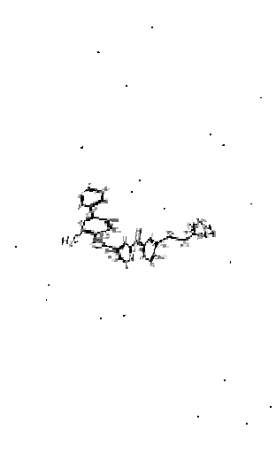 Cc1nc(-c2ccccc2)ccc1Oc1ccnc(Nc2cccc(CCc3nnn[nH]3)c2)c1